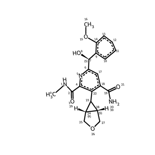 CNC(=O)c1nc([C@@H](O)c2ccccc2OC)cc(C(N)=O)c1C1[C@H]2COC[C@@H]12